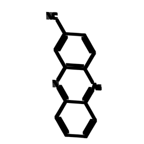 N#Cc1ccc2c(c1)N=c1ccccc1=[As]2